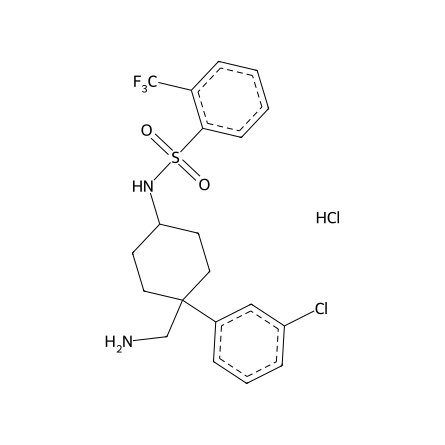 Cl.NCC1(c2cccc(Cl)c2)CCC(NS(=O)(=O)c2ccccc2C(F)(F)F)CC1